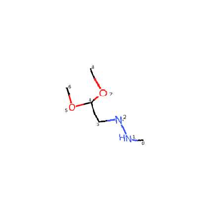 CN[N]CC(OC)OC